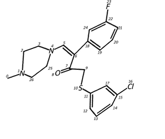 CN1CCN(C=C(C(=O)CSc2cccc(Cl)c2)c2cccc(F)c2)CC1